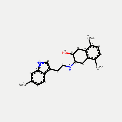 COc1ccc2c(CCNC3Cc4c(OC)ccc(OC)c4CC3O)c[nH]c2c1